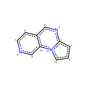 c1cc2ncc3ccncc3n2c1